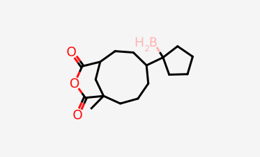 BC1(C2CCCC3(C)CC(CC2)C(=O)OC3=O)CCCC1